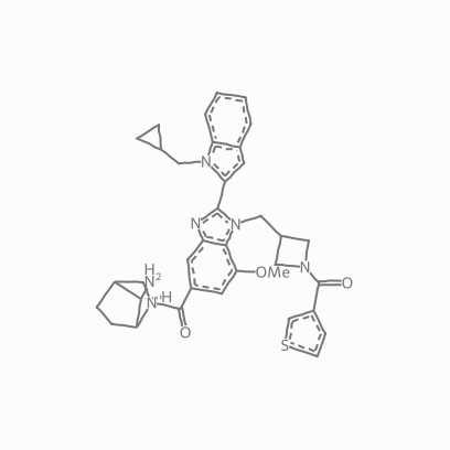 COc1cc(C(=O)N2CC3CCC2[C@@H]3N)cc2nc(-c3cc4ccccc4n3CC3CC3)n(CC3CN(C(=O)c4ccsc4)C3)c12